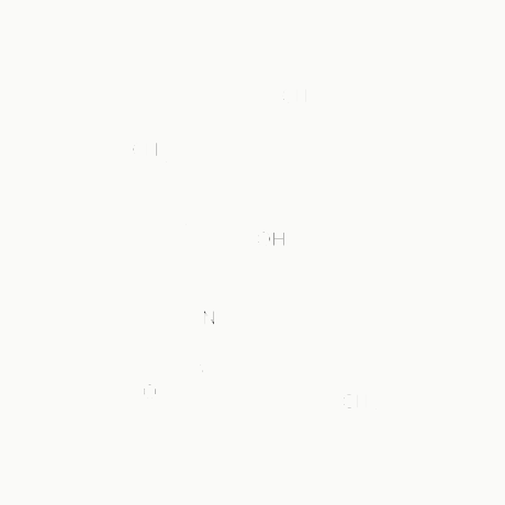 CCCCC(CC)Cn1c(O)cc(C)cc1=O